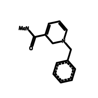 CNC(=O)C1=CC=CN(Cc2ccccc2)C1